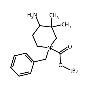 CC(C)(C)OC(=O)[N+]1(Cc2ccccc2)CCC(N)C(C)(C)C1